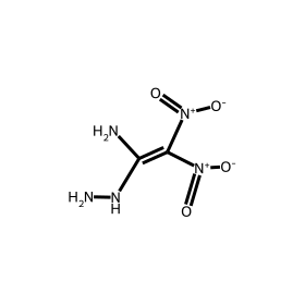 NNC(N)=C([N+](=O)[O-])[N+](=O)[O-]